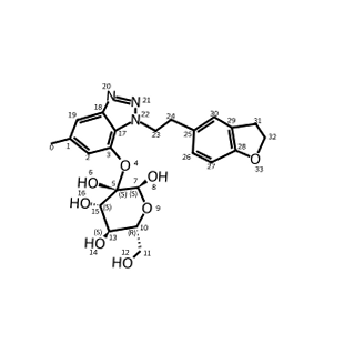 Cc1cc(O[C@]2(O)[C@@H](O)O[C@H](CO)[C@@H](O)[C@@H]2O)c2c(c1)nnn2CCc1ccc2c(c1)CCO2